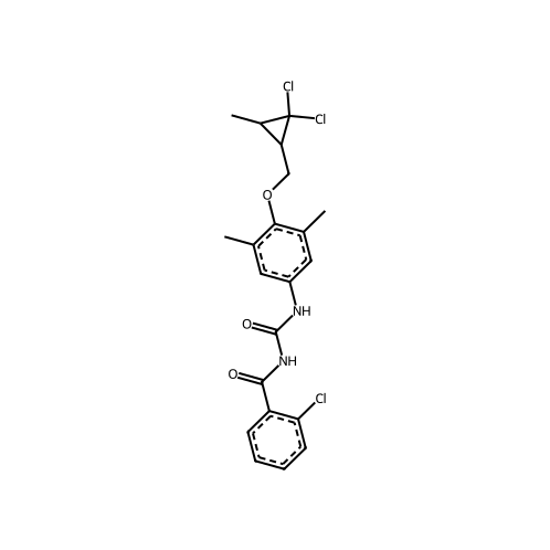 Cc1cc(NC(=O)NC(=O)c2ccccc2Cl)cc(C)c1OCC1C(C)C1(Cl)Cl